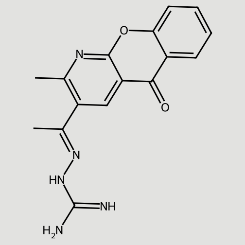 CC(=NNC(=N)N)c1cc2c(=O)c3ccccc3oc2nc1C